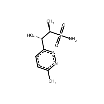 Cc1ccc([C@H](O)[C@@H](C)S(N)(=O)=O)nn1